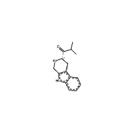 CC(C)C(=O)[C@@H]1Cc2c([nH]c3ccccc23)CN1